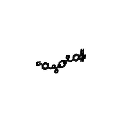 O=C(Cc1ccc2[nH]nnc2c1)N1CCN(C(=O)OCc2ccc(Cl)cc2)CC1